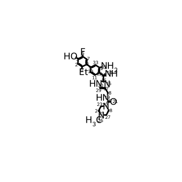 CCc1cc(O)c(F)cc1-c1ccc(C(=N)c2nc(CNC(=O)N3CCN(C)CC3)c[nH]2)c(N)c1